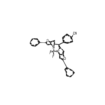 N#Cc1ccc(C2=C3C=c4oc(-c5ccccc5)cc4=[N+]3[B-](F)(F)n3c2cc2oc(-c4ccccc4)cc23)cc1